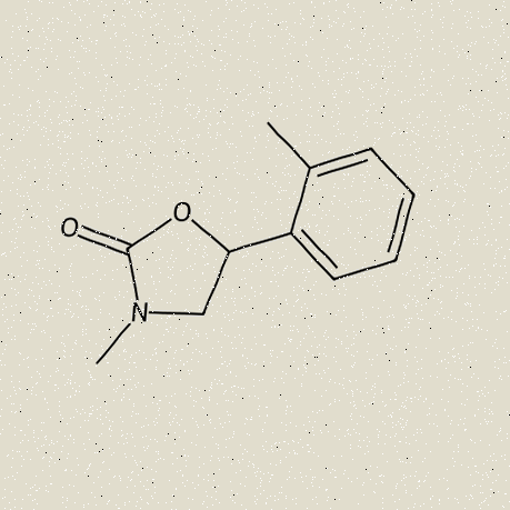 Cc1ccccc1C1CN(C)C(=O)O1